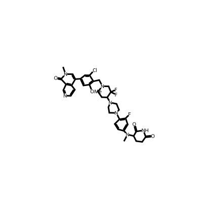 COc1cc(-c2cn(C)c(=O)c3cnccc23)cc(Cl)c1CN1CCC(N2CCN(c3ccc(N(C)C4CCC(=O)NC4=O)cc3F)CC2)C(F)(F)C1